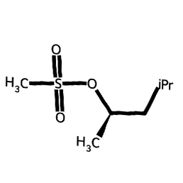 CC(C)C[C@@H](C)OS(C)(=O)=O